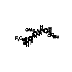 COc1cc(-c2ccc(NS(=O)(=O)CCC(F)(F)F)c(F)c2)nc2cnc(N[C@H]3CC[C@H](NC(=O)OC(C)(C)C)CC3)nc12